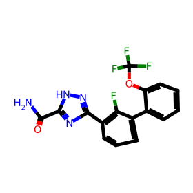 NC(=O)c1nc(-c2cccc(-c3ccccc3OC(F)(F)F)c2F)n[nH]1